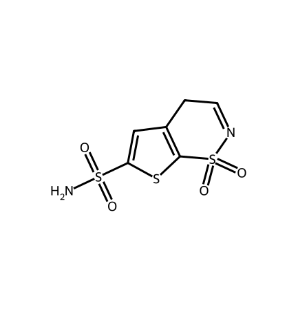 NS(=O)(=O)c1cc2c(s1)S(=O)(=O)N=CC2